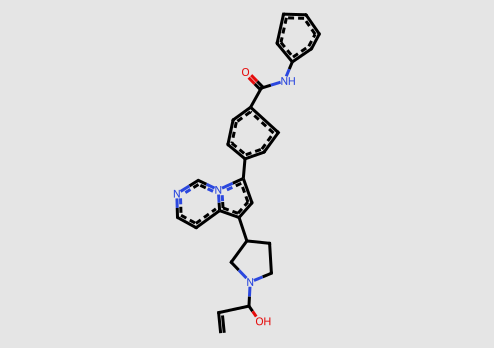 C=CC(O)N1CCC(c2cc(-c3ccc(C(=O)Nc4ccccc4)cc3)n3cnccc23)C1